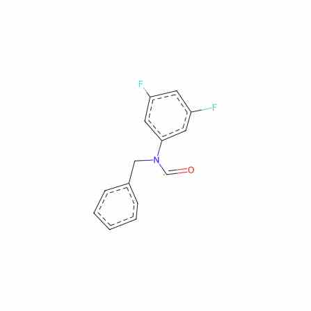 O=[C]N(Cc1ccccc1)c1cc(F)cc(F)c1